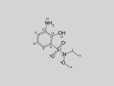 CCN(OC)S(=O)(=O)c1cccc(N)c1O